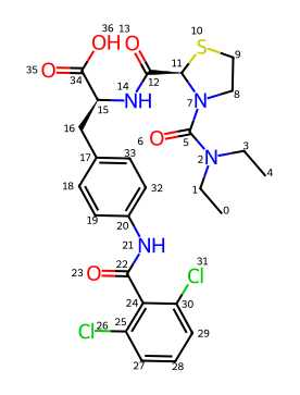 CCN(CC)C(=O)N1CCS[C@@H]1C(=O)N[C@@H](Cc1ccc(NC(=O)c2c(Cl)cccc2Cl)cc1)C(=O)O